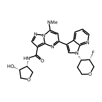 CNc1cc(-c2cn([C@H]3CCOC[C@H]3F)c3ncccc23)nc2c(C(=O)N[C@@H]3COC[C@@H]3O)cnn12